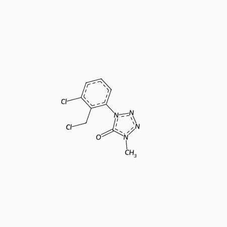 Cn1nnn(-c2cccc(Cl)c2CCl)c1=O